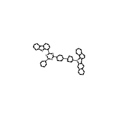 c1ccc(-c2nc(-c3ccc(-c4ccc(-n5c6cc7ccccc7cc6c6ccc7ccccc7c65)cc4)cc3)nc(-c3cccc4c3sc3ccccc34)n2)cc1